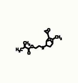 C=C(C)C(=O)OCCSC1CC2CC1C(C1CO1)C2C